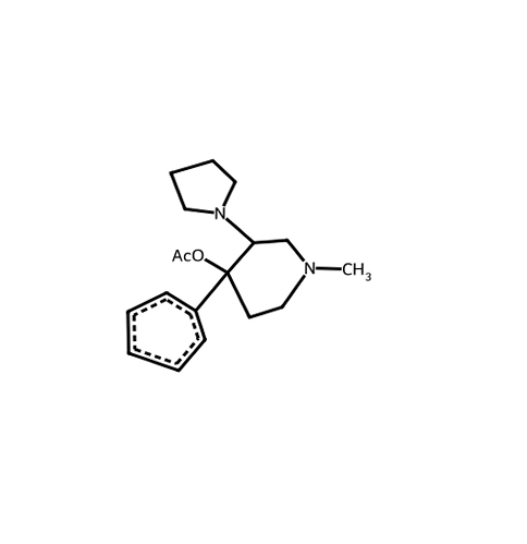 CC(=O)OC1(c2ccccc2)CCN(C)CC1N1CCCC1